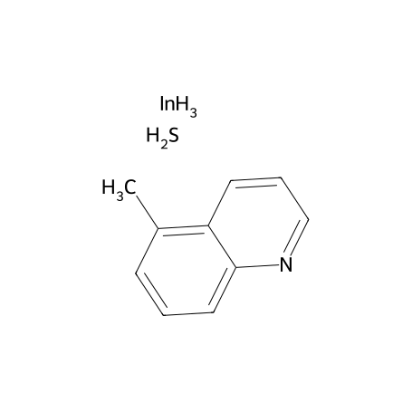 Cc1cccc2ncccc12.S.[InH3]